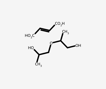 CC(O)COC(C)CO.O=C(O)C=CC(=O)O